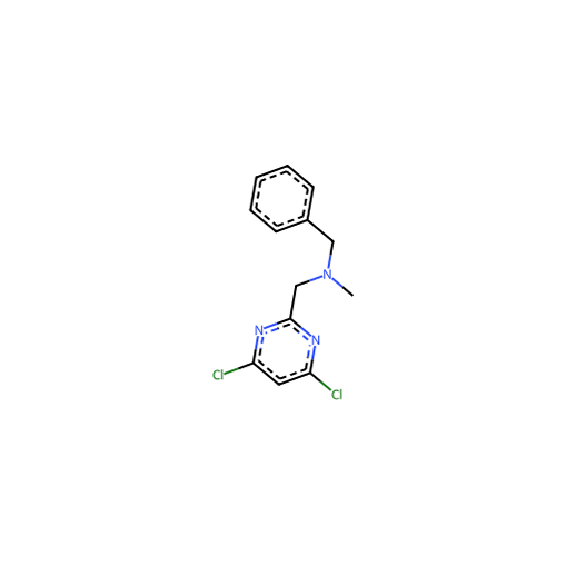 CN(Cc1ccccc1)Cc1nc(Cl)cc(Cl)n1